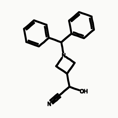 N#CC(O)C1CN(C(c2ccccc2)c2ccccc2)C1